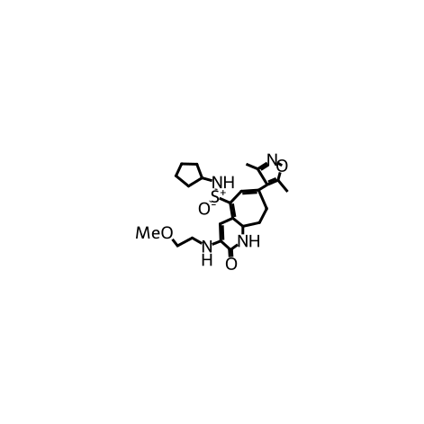 COCCNC1=CC2=C([S+]([O-])NC3CCCC3)C=C(c3c(C)noc3C)CCC2NC1=O